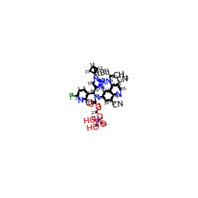 Cc1nc(F)ccc1C(c1cn(C23CC(C2)C3)nn1)N(C(=O)OCOP(=O)(O)O)c1cc(C#N)c2ncc(C#N)c(NC(C)C(C)(C)C)c2c1